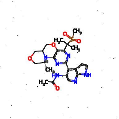 CC(=O)Nc1cnc2[nH]ccc2c1-c1nc2c(c(C(C)(C)S(C)(=O)=O)n1)OCC1COC[C@@H](C)N21